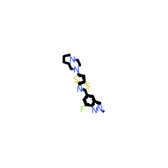 Cn1cc2cc(-c3nc4sc(N5CCN6CCCC6C5)cc4s3)cc(F)c2n1